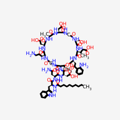 CCCCCCCCCC(=O)N[C@@H](Cc1c[nH]c2ccccc12)C(=O)N[C@@H](CC(N)=O)C(=O)N[C@@H](CC(=O)O)C(=O)NC1C(=O)NCC(=O)N[C@@H](CCCN)C(=O)N[C@@H](CC(=O)O)C(=O)N[C@H](C)C(=O)N[C@@H](CC(=O)O)C(=O)NCC(=O)N[C@H](CO)C(=O)N[C@@H](C(C)CC(=O)O)C(=O)N[C@@H](CC(=O)c2ccccc2N)C(=O)OC1C